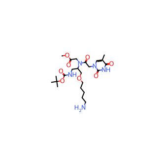 COC(=O)CN(C(=O)Cn1cc(C)c(=O)[nH]c1=O)C(CNC(=O)OC(C)(C)C)COCCCCCN